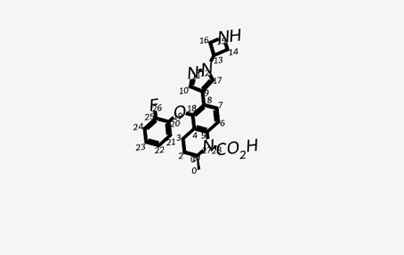 C[C@H]1CCc2c(ccc(-c3cnn(C4CNC4)c3)c2Oc2ccccc2F)N1C(=O)O